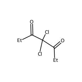 CCC(=O)C(Cl)(Cl)C(=O)CC